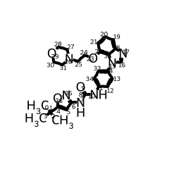 CC(C)(C)c1cc(NC(=O)Nc2ccc(-n3cnc4cccc(OCCN5CCOCC5)c43)cc2)no1